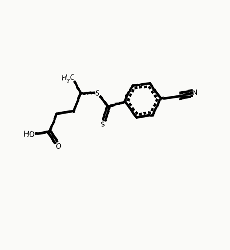 CC(CCC(=O)O)SC(=S)c1ccc(C#N)cc1